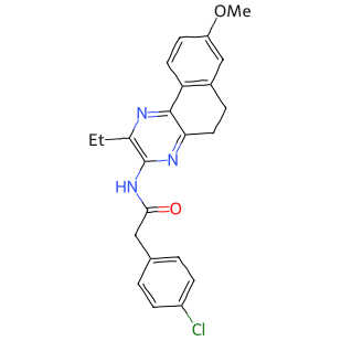 CCc1nc2c(nc1NC(=O)Cc1ccc(Cl)cc1)CCc1cc(OC)ccc1-2